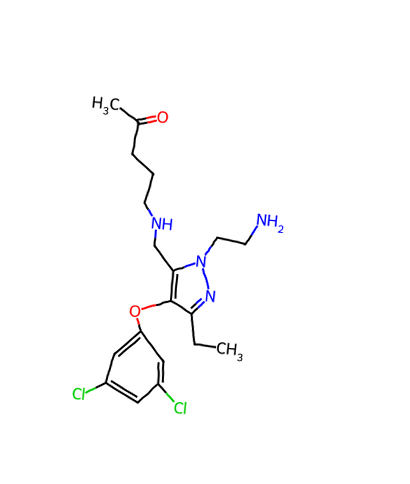 CCc1nn(CCN)c(CNCCCC(C)=O)c1Oc1cc(Cl)cc(Cl)c1